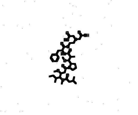 CCC(C)C(C(CC(=O)N1CCCC1C(OC)C(C)C(=O)NC(Cc1ccccc1)C(=O)OCCN(CC(=O)O)CC(=O)O)OC)N(C)C(=O)CC(C)C